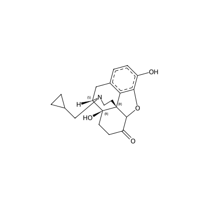 O=C1CC[C@]2(O)[C@@H]3Cc4ccc(O)c5c4[C@]2(CCN3CC2CC2)C1O5